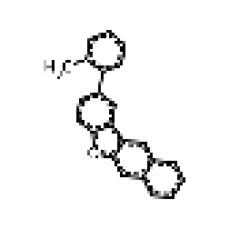 Cc1ccccc1-c1ccc2oc3cc4ccccc4cc3c2c1